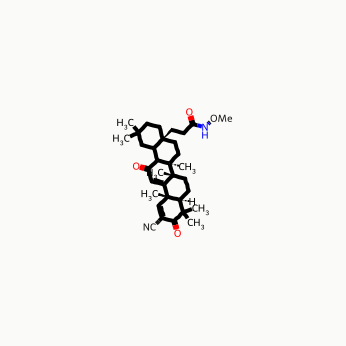 CONC(=O)CC[C@]12CCC(C)(C)CC1C1C(=O)C=C3[C@@]4(C)C=C(C#N)C(=O)C(C)(C)[C@@H]4CC[C@@]3(C)[C@]1(C)CC2